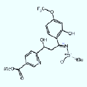 COC(=O)c1ccc(C(O)C/C(=N\[S@@+]([O-])C(C)(C)C)c2ccc(OC(F)(F)F)cc2O)nc1